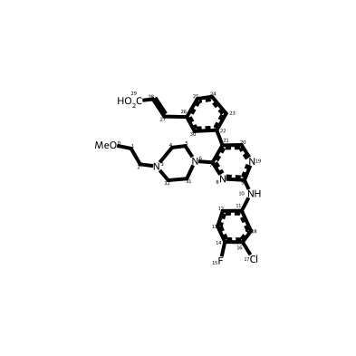 COCCN1CCN(c2nc(Nc3ccc(F)c(Cl)c3)ncc2-c2cccc(C=CC(=O)O)c2)CC1